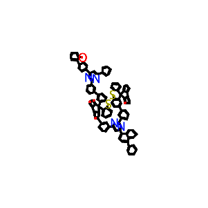 c1ccc(-c2cc(-c3ccc4c(c3)oc3ccccc34)nc(-c3cccc(-c4ccc5c(c4)C4(c6ccccc6S5)c5ccccc5-c5ccc(-c6cccc(-c7cc(-c8ccc(-c9ccccc9)c9ccccc89)nc(-c8cccc(-c9ccc%10c(c9)C9(c%11ccccc%11S%10)c%10ccccc%10-c%10ccccc%109)c8)n7)c6)cc54)c3)n2)cc1